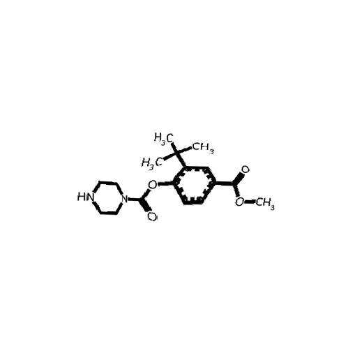 COC(=O)c1ccc(OC(=O)N2CCNCC2)c(C(C)(C)C)c1